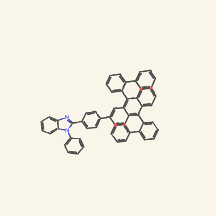 c1ccc(-c2ccccc2-c2c3ccccc3c(-c3ccccc3-c3ccccc3)c3cc(-c4ccc(-c5nc6ccccc6n5-c5ccccc5)cc4)ccc23)cc1